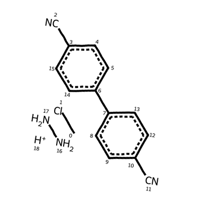 CCl.N#Cc1ccc(-c2ccc(C#N)cc2)cc1.NN.[H+]